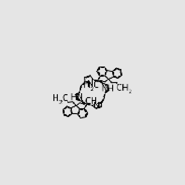 C=CCC1(CC=C)c2ccccc2-c2cccc(-c3c4nc(cc5ccc([nH]5)c(-c5cccc6c5C(CC=C)(CC=C)c5ccccc5-6)c5nc(cc6ccc3[nH]6)C=C5)C=C4)c21